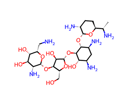 C[C@H](N)[C@@H]1CC[C@@H](N)[C@@H](O[C@H]2[C@H](O[C@@H]3O[C@H](CO)[C@@H](O[C@H]4O[C@@H](CN)[C@@H](O)[C@H](O)[C@H]4N)[C@H]3O)[C@@H](O)[C@H](N)C[C@@H]2N)O1